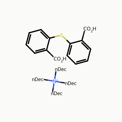 CCCCCCCCCC[N+](CCCCCCCCCC)(CCCCCCCCCC)CCCCCCCCCC.O=C(O)c1ccccc1Sc1ccccc1C(=O)O